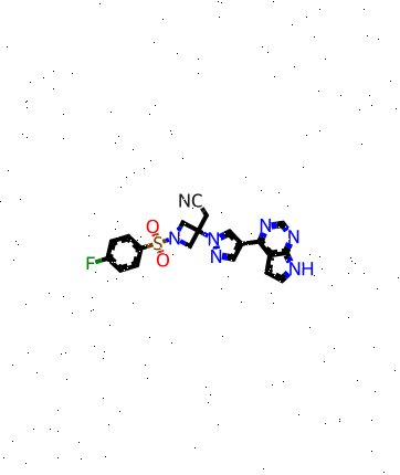 N#CCC1(n2cc(-c3ncnc4[nH]ccc34)cn2)CN(S(=O)(=O)c2ccc(F)cc2)C1